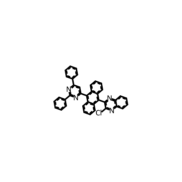 Clc1nc2ccccc2nc1-c1c2ccccc2c(-c2cc(-c3ccccc3)nc(-c3ccccc3)n2)c2ccccc12